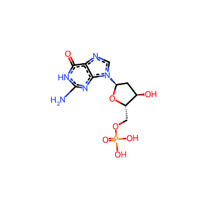 Nc1nc2c(ncn2[C@H]2C[C@@H](O)[C@H](COP(=O)(O)O)O2)c(=O)[nH]1